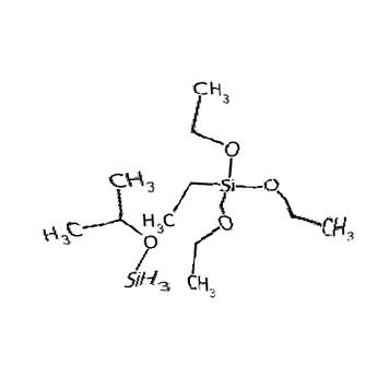 CC(C)O[SiH3].CCO[Si](CC)(OCC)OCC